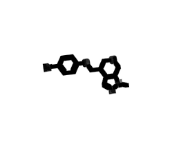 Cn1ncc2c1COCC2COc1ccc(Br)cc1